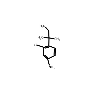 CC(C)(CN)c1ccc(N)cc1Cl